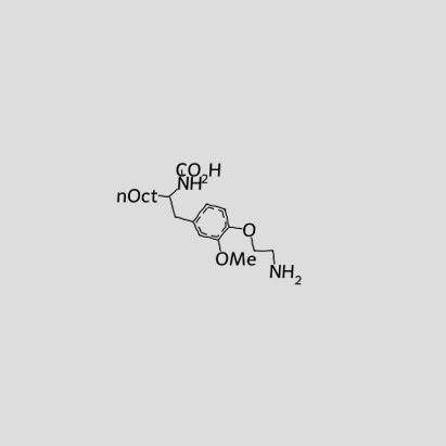 CCCCCCCCC(Cc1ccc(OCCN)c(OC)c1)NC(=O)O